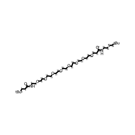 CC(C)(C)CCC(=O)NCCOCCOCCOCCOCCOCCOCCOCCOCCC(=O)NCCSCC(C)(C)C